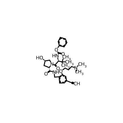 C#Cc1ccc(CNC(=O)[C@@H]2C[C@@H](O)CN2C(=O)[C@@H](NC(=O)Oc2ccccc2)C(C)(C)C)c(OCCCN(C)C)c1